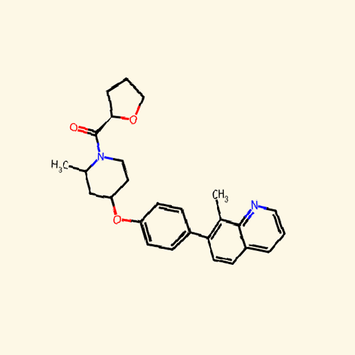 Cc1c(-c2ccc(OC3CCN(C(=O)[C@H]4CCCO4)C(C)C3)cc2)ccc2cccnc12